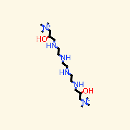 C[N+](C)(C)CC(O)CNCCNCCNCCNCC(O)C[N+](C)(C)C